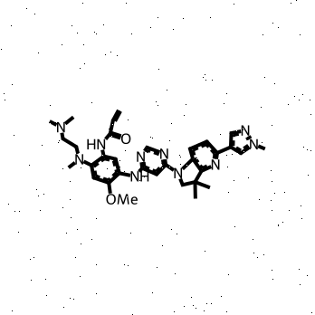 C=CC(=O)Nc1cc(Nc2cc(N3CC(C)(C)c4nc(-c5cnn(C)c5)ccc43)ncn2)c(OC)cc1N(C)CCN(C)C